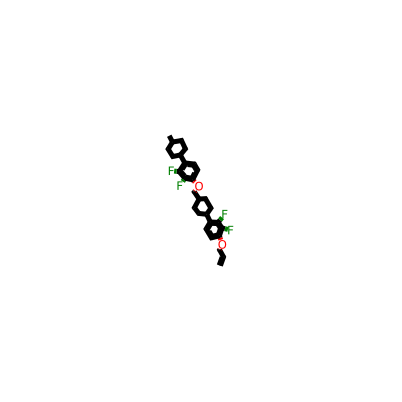 C=CCOc1ccc(C2CCC(COc3ccc(C4CCC(C)CC4)c(F)c3F)CC2)c(F)c1F